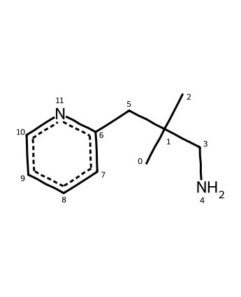 CC(C)(CN)Cc1ccccn1